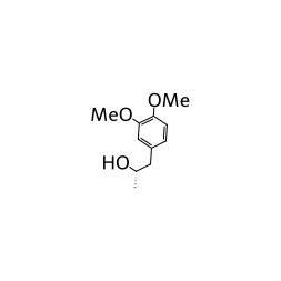 COc1ccc(C[C@H](C)O)cc1OC